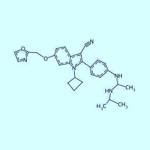 CC(C)NC(C)Nc1ccc(-c2c(C#N)c3ccc(OCc4ncco4)cc3n2C2CCC2)cc1